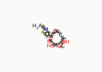 CCCC1C(=O)C(C)(C)C(O)CC(=O)OC(c2ccc3sc(C[AsH2])nc3c2)CC2OC2(C)CCCC(C)C1O